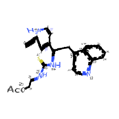 C=C/C=C(\C=C/N)C(Cc1ccnc2ccccc12)NC(=S)NCCOC(C)=O